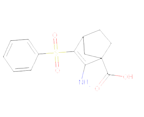 NC1=C(S(=O)(=O)c2ccccc2)C2CCC1(C(=O)O)C2